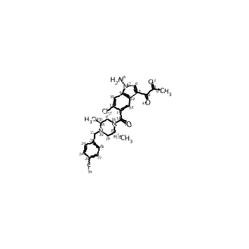 CC(=O)C(=O)c1cn(N)c2cc(Cl)c(C(=O)N3C[C@H](C)N(Cc4ccc(F)cc4)C[C@H]3C)cc12